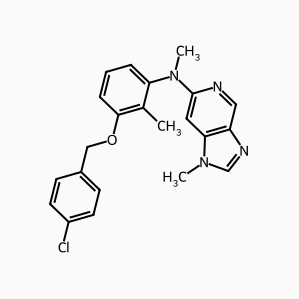 Cc1c(OCc2ccc(Cl)cc2)cccc1N(C)c1cc2c(cn1)ncn2C